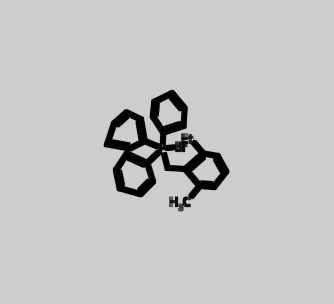 CCc1cccc(C)c1CP(Br)(c1ccccc1)(c1ccccc1)c1ccccc1